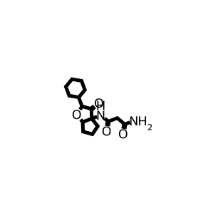 NC(=O)CC(=O)NC12CCCC1OC(C1CCCCC1)C2=O